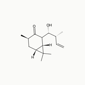 C=C[C@@H](C)[C@@H](O)C1C(=O)[C@H](C)C[C@@H]2[C@H]1C2(C)C